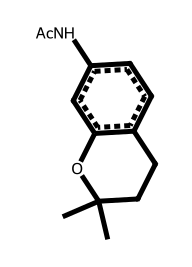 CC(=O)Nc1ccc2c(c1)OC(C)(C)CC2